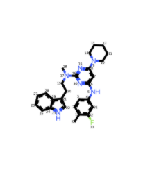 Cc1ccc(Nc2cc(N3CCCCC3)nc(N(C)CCc3c[nH]c4ccccc34)n2)cc1F